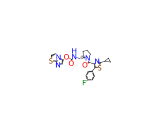 O=C(NC[C@@H]1CCCN1C(=O)c1nc(C2CC2)sc1-c1ccc(F)cc1)Oc1cnc2sccn12